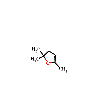 CC1=CCC(C)(C)O1